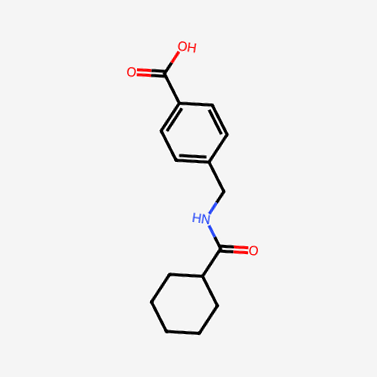 O=C(O)c1ccc(CNC(=O)C2CCCCC2)cc1